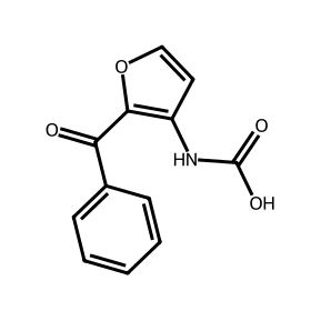 O=C(O)Nc1ccoc1C(=O)c1ccccc1